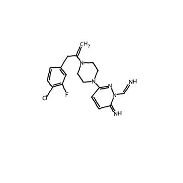 C=C(Cc1ccc(Cl)c(F)c1)N1CCN(c2ccc(=N)n(C=N)n2)CC1